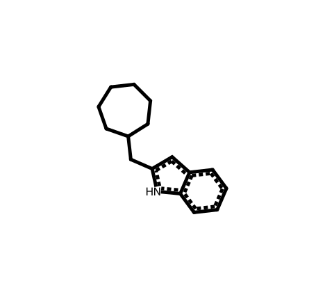 c1ccc2[nH]c(CC3CCCCCC3)cc2c1